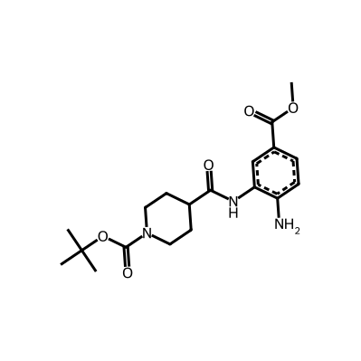 COC(=O)c1ccc(N)c(NC(=O)C2CCN(C(=O)OC(C)(C)C)CC2)c1